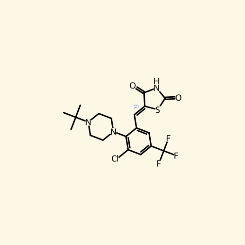 CC(C)(C)N1CCN(c2c(Cl)cc(C(F)(F)F)cc2/C=C2\SC(=O)NC2=O)CC1